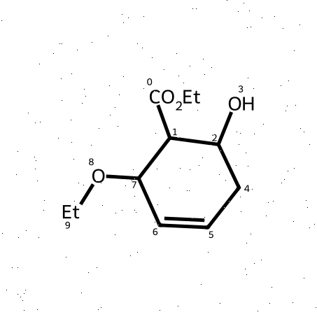 CCOC(=O)C1C(O)CC=CC1OCC